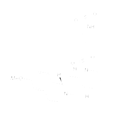 COc1cc2c(cc1C)[C@@H]1C[C@@H]3[C@@H](CCCN3S(=O)(=O)CCCNS(C)(=O)=O)CN1CC2